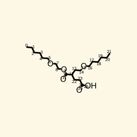 CCCCCCOCCOC(=O)C(CCOCCCCCC)CCC(=O)O